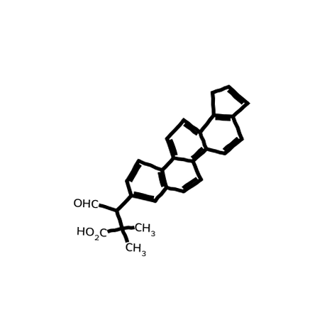 CC(C)(C(=O)O)C(C=O)c1ccc2c(ccc3c4ccc5c(c4ccc23)CC=C5)c1